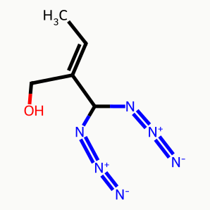 CC=C(CO)C(N=[N+]=[N-])N=[N+]=[N-]